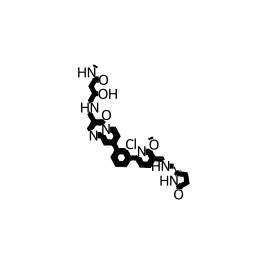 CNC(=O)CC(O)CNCc1cnc2cc(-c3cccc(-c4ccc(CNC[C@@H]5CCC(=O)N5)c(OC)n4)c3Cl)ccn2c1=O